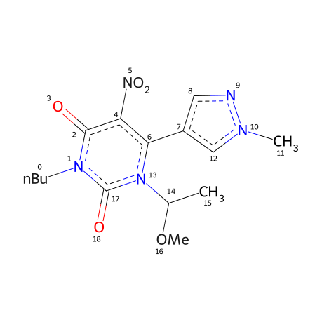 CCCCn1c(=O)c([N+](=O)[O-])c(-c2cnn(C)c2)n(C(C)OC)c1=O